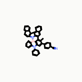 Cc1c(-c2ccc(C#N)cc2)cc2c3c1-c1cc4ccccc4c4c5c6ccccc6ccc5n(c14)B3c1ccccc1N2c1ccccc1